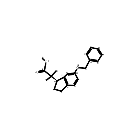 COC(=O)C(C)(C)[C@@H]1CCc2ccc(OCc3ccccc3)cc21